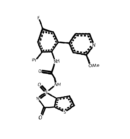 COc1cc(-c2cc(F)cc(C(C)C)c2NC(=O)NS2(=O)=NC(=O)c3sccc32)ccn1